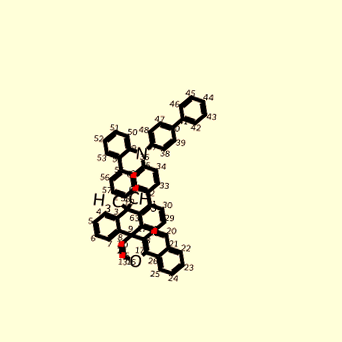 CC1(C)c2ccccc2C2(c3ccccc3Oc3c2ccc2ccccc32)c2cccc(-c3ccc(N(c4ccc(-c5ccccc5)cc4)c4ccccc4-c4ccccc4)cc3)c21